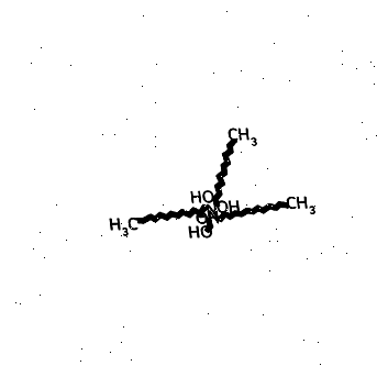 CCCCCCCCCCCCC(O)CN(CCO)N(CC(O)CCCCCCCCCCCC)CC(O)CCCCCCCCCCCC